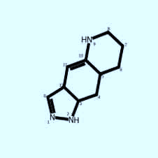 C1=NNC2CC3CCCNC3=CC12